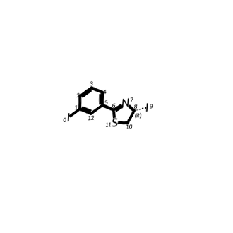 Ic1cccc(C2=N[C@H](I)CS2)c1